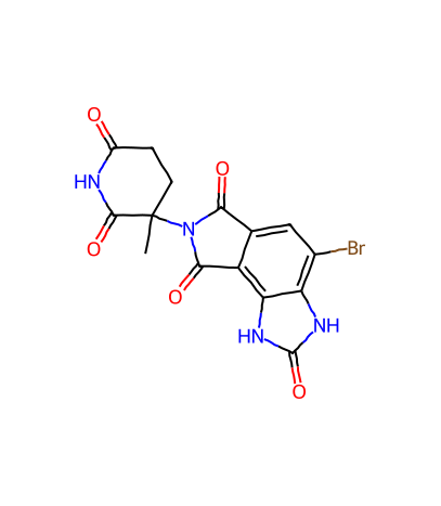 CC1(N2C(=O)c3cc(Br)c4[nH]c(=O)[nH]c4c3C2=O)CCC(=O)NC1=O